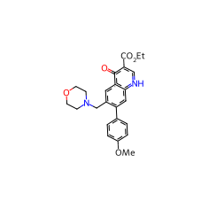 CCOC(=O)c1c[nH]c2cc(-c3ccc(OC)cc3)c(CN3CCOCC3)cc2c1=O